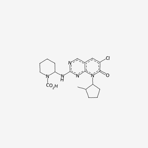 CC1CCCC1n1c(=O)c(Cl)cc2cnc(NC3CCCCN3C(=O)O)nc21